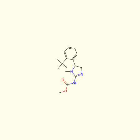 COC(=O)NC1=NCC(c2ccccc2C(C)(C)C)N1C